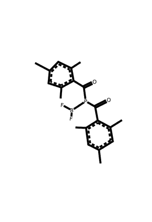 Cc1cc(C)c(C(=O)P(B(F)F)C(=O)c2c(C)cc(C)cc2C)c(C)c1